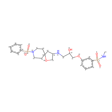 CNS(=O)(=O)c1cccc(OCC(O)CNC2COC3(CCN(S(=O)(=O)c4ccccc4)CC3)C2)c1